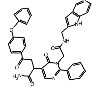 NC(=O)C(CC(=O)c1ccc(Oc2ccccc2)cc1)c1cnc(-c2ccccc2)n(CC(=O)NCc2cc3cnccc3[nH]2)c1=O